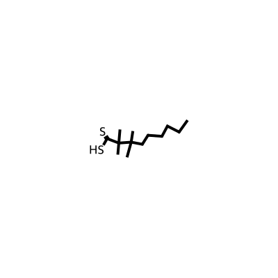 CCCCCCC(C)(C)C(C)(C)C(=S)S